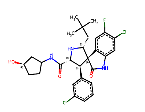 CC(C)(C)C[C@H]1N[C@@H](C(=O)NC2CC[C@@H](O)C2)[C@H](c2cccc(Cl)c2)[C@@]12C(=O)Nc1cc(Cl)c(F)cc12